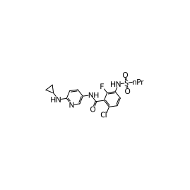 CCCS(=O)(=O)Nc1ccc(Cl)c(C(=O)Nc2ccc(NC3CC3)nc2)c1F